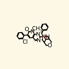 Cn1c(=O)c(-c2ccccc2Cl)cc2cnc(NC3C4COCC3CN(Cc3ccccc3)C4)nc21